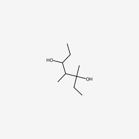 CCC(O)C(C)C(C)(O)CC